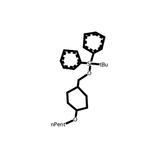 CCCCCOC1CCC(CO[Si](c2ccccc2)(c2ccccc2)C(C)(C)C)CC1